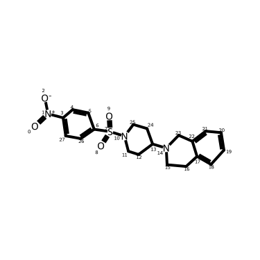 O=[N+]([O-])c1ccc(S(=O)(=O)N2CCC(N3CCc4ccccc4C3)CC2)cc1